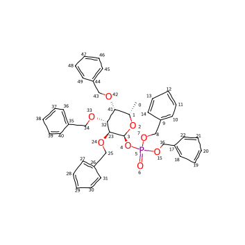 C[C@@H]1O[C@@H](OP(=O)(OCc2ccccc2)OCc2ccccc2)[C@@H](OCc2ccccc2)[C@H](OCc2ccccc2)[C@@H]1OCc1ccccc1